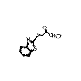 O=CC(=O)CSc1nc2ccccc2s1